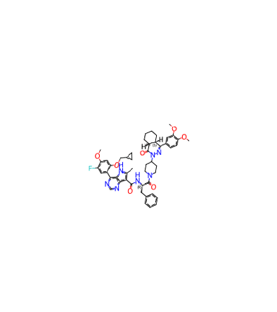 COc1cc(OCC2CC2)c(-c2ncnc3c(C(=O)N[C@H](Cc4ccccc4)C(=O)N4CCC(N5N=C(c6ccc(OC)c(OC)c6)[C@H]6CCCC[C@H]6C5=O)CC4)c(C)[nH]c23)cc1F